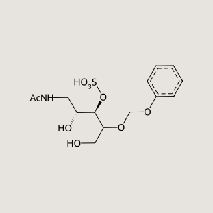 CC(=O)NC[C@@H](O)[C@@H](OS(=O)(=O)O)C(CO)OCOc1ccccc1